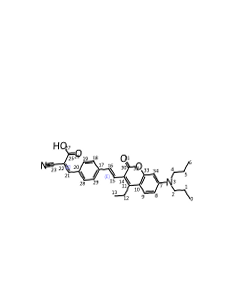 CCCN(CCC)c1ccc2c(CC)c(/C=C/c3ccc(/C=C(/C#N)C(=O)O)cc3)c(=O)oc2c1